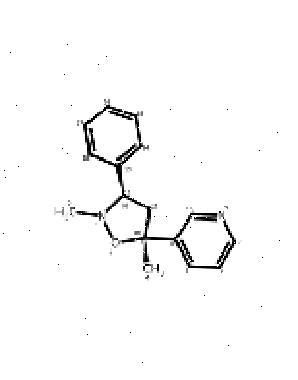 CN1O[C@@](C)(c2cccnc2)C[C@@H]1c1ccccc1